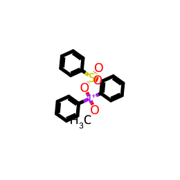 CO[I+](OS(=O)(=O)c1ccccc1)(c1ccccc1)c1ccccc1